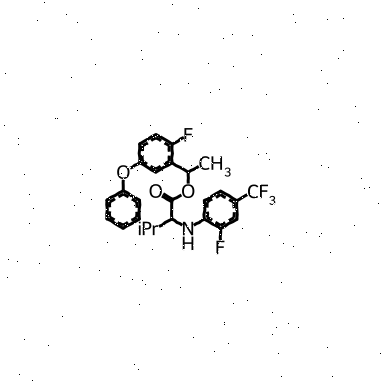 CC(OC(=O)C(Nc1ccc(C(F)(F)F)cc1F)C(C)C)c1cc(Oc2ccccc2)ccc1F